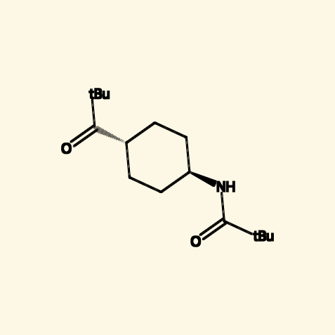 CC(C)(C)C(=O)N[C@H]1CC[C@H](C(=O)C(C)(C)C)CC1